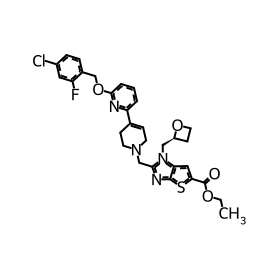 CCOC(=O)c1cc2c(nc(CN3CC=C(c4cccc(OCc5ccc(Cl)cc5F)n4)CC3)n2C[C@@H]2CCO2)s1